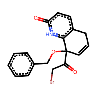 O=C(CBr)C1(OCc2ccccc2)C=CCc2ccc(=O)[nH]c21